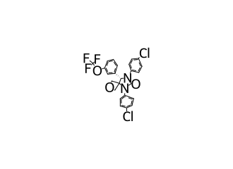 O=C1N(c2ccc(Cl)cc2)[C@@H](c2cccc(OC(F)(F)F)c2)C2(COC2)N1c1ccc(Cl)cc1